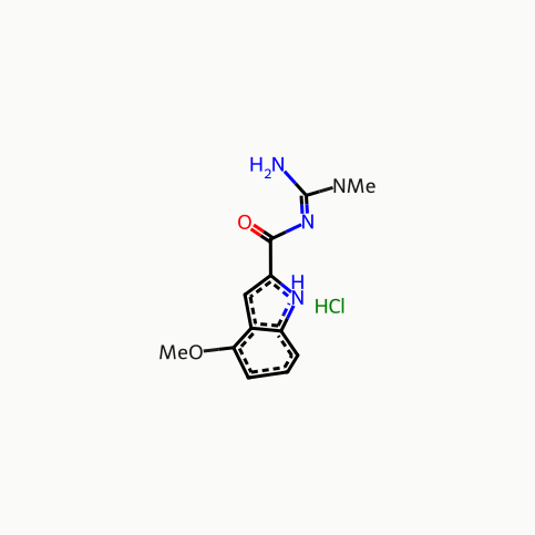 CNC(N)=NC(=O)c1cc2c(OC)cccc2[nH]1.Cl